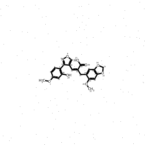 COc1ccc(-c2nocc2C=C(Cc2cc3c(cc2OC)OCO3)C(=O)O)c(O)c1